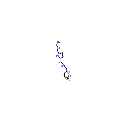 C/C=C\C(CNCC(C)N1C=CC(CNCC(C)C)N1)=N/C